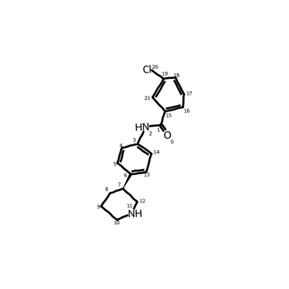 O=C(Nc1ccc([C@@H]2CCCNC2)cc1)c1cccc(Cl)c1